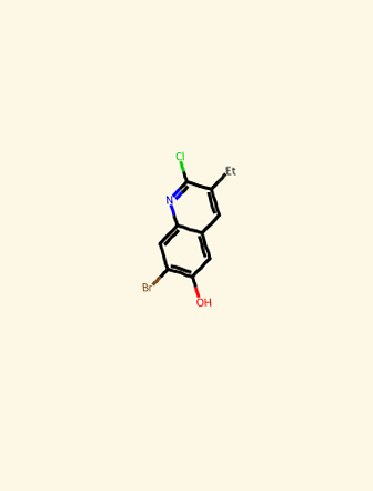 CCc1cc2cc(O)c(Br)cc2nc1Cl